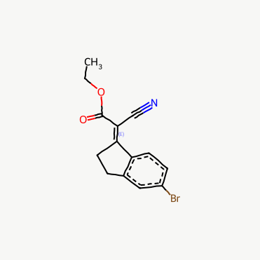 CCOC(=O)/C(C#N)=C1\CCc2cc(Br)ccc21